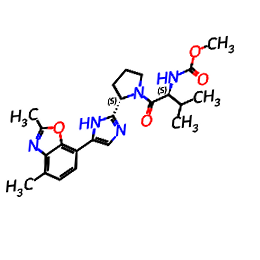 COC(=O)N[C@H](C(=O)N1CCC[C@H]1c1ncc(-c2ccc(C)c3nc(C)oc23)[nH]1)C(C)C